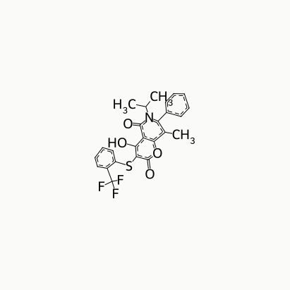 Cc1c(-c2ccccc2)n(C(C)C)c(=O)c2c(O)c(Sc3ccccc3C(F)(F)F)c(=O)oc12